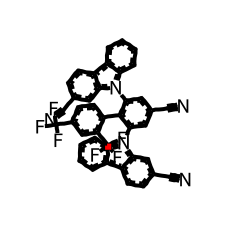 N#Cc1cc(-n2c3ccccc3c3ccc(C#N)cc32)c(-c2ccc(C(F)(F)F)cc2C(F)(F)F)c(-n2c3ccccc3c3ccc(C#N)cc32)c1